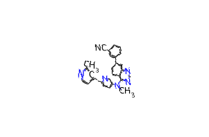 Cc1cc(-c2ccc(N(C)c3ncnc4cc(-c5cccc(C#N)c5)ccc34)cn2)ccn1